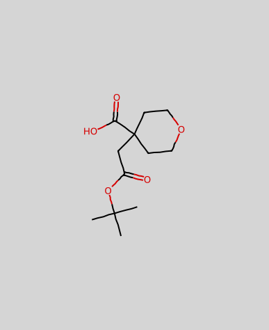 CC(C)(C)OC(=O)CC1(C(=O)O)CCOCC1